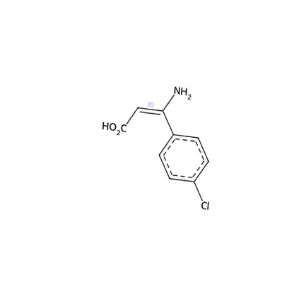 N/C(=C/C(=O)O)c1ccc(Cl)cc1